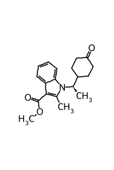 COC(=O)c1c(C)n([C@H](C)C2CCC(=O)CC2)c2ccccc12